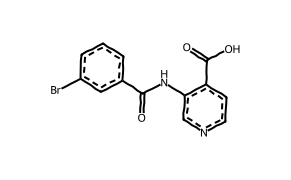 O=C(Nc1cnccc1C(=O)O)c1cccc(Br)c1